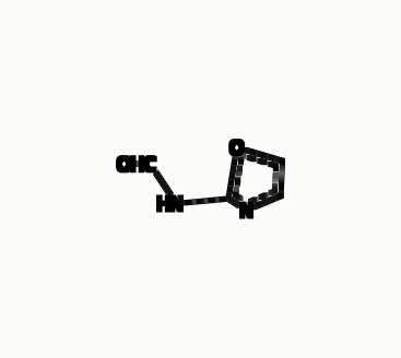 O=CNc1ncco1